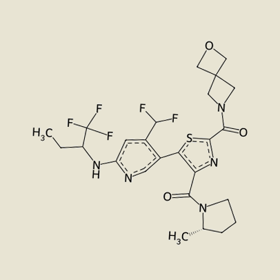 CCC(Nc1cc(C(F)F)c(-c2sc(C(=O)N3CC4(COC4)C3)nc2C(=O)N2CCC[C@@H]2C)cn1)C(F)(F)F